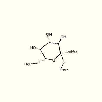 CCCCCCO[C@@]1(CCCCCC)O[C@H](CO)[C@H](O)[C@H](O)[C@H]1O